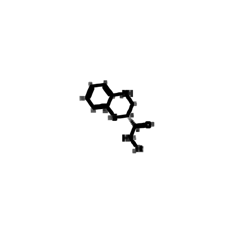 CCNC(=O)[C@H]1CNc2ccccc2S1